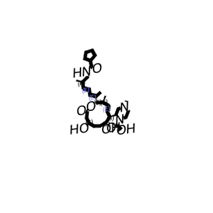 C/C(=C\C=C\[C@@H](C)CNC(=O)C1CCCC1)[C@H]1OC(=O)C[C@@H](O)CC[C@](C)(O)[C@H](C2CN(C)CCN2C(=O)O)/C=C/[C@@H]1C